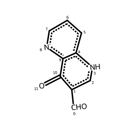 O=Cc1c[nH]c2cccnc2c1=O